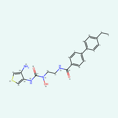 CCc1ccc(-c2ccc(C(=O)NCCN(O)C(=O)Nc3cscc3N)cc2)cc1